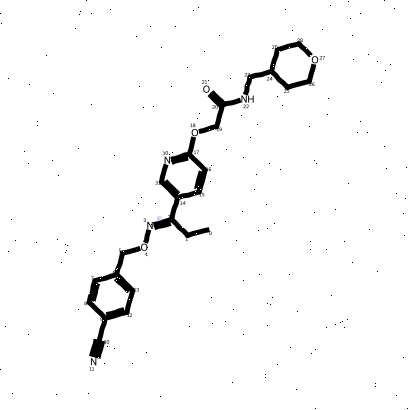 CC/C(=N\OCc1ccc(C#N)cc1)c1ccc(OCC(=O)NCC2CCOCC2)nc1